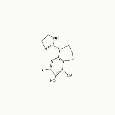 Oc1c(F)cc2c(c1O)CCCC2C1=NCCN1